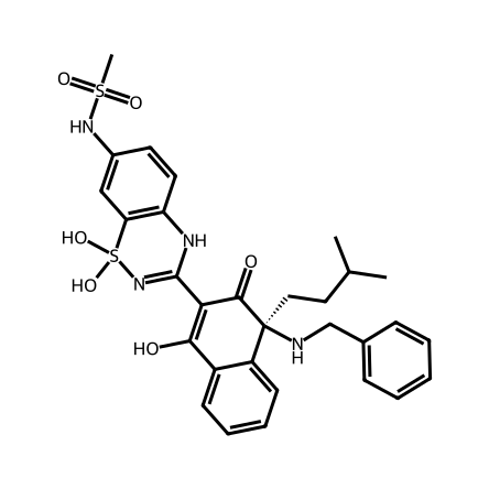 CC(C)CC[C@@]1(NCc2ccccc2)C(=O)C(C2=NS(O)(O)c3cc(NS(C)(=O)=O)ccc3N2)=C(O)c2ccccc21